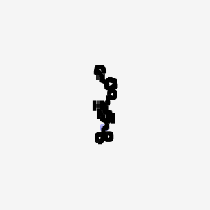 COC(=O)/C=C/c1cnc(NCCOc2cccc(CN3CCCC3)c2)cn1